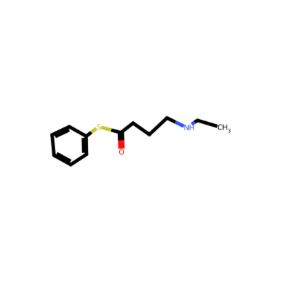 CCNCCCC(=O)Sc1ccccc1